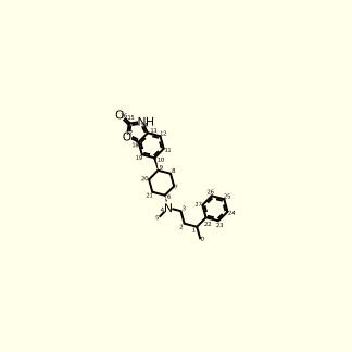 CC(CCN(C)[C@H]1CC[C@H](c2ccc3[nH]c(=O)oc3c2)CC1)c1ccccc1